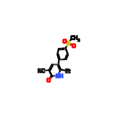 CCc1[nH]c(=O)c(C#N)cc1-c1ccc(S(C)(=O)=O)cc1